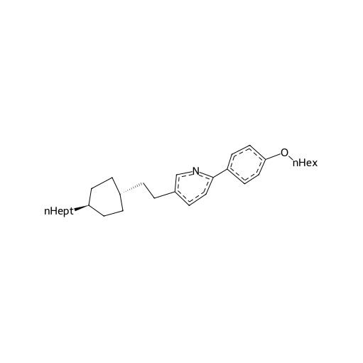 CCCCCCC[C@H]1CC[C@H](CCc2ccc(-c3ccc(OCCCCCC)cc3)nc2)CC1